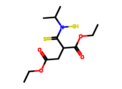 CCOC(=O)CC(C(=O)OCC)C(=S)N(S)C(C)C